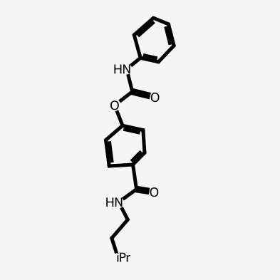 CC(C)CCNC(=O)c1ccc(OC(=O)Nc2ccccc2)cc1